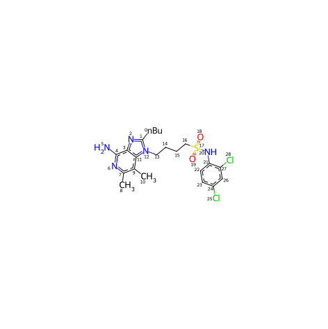 CCCCc1nc2c(N)nc(C)c(C)c2n1CCCCS(=O)(=O)Nc1ccc(Cl)cc1Cl